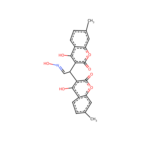 Cc1ccc2c(O)c(C(/C=N/O)c3c(O)c4ccc(C)cc4oc3=O)c(=O)oc2c1